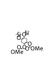 COC(=O)OC1=C(OC(=O)OC)CC(O[Si](C)(C)C)=C(O[Si](C)(C)C)C1